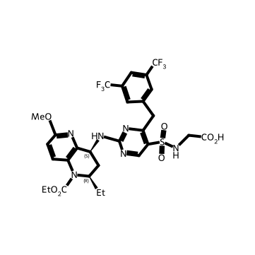 CCOC(=O)N1c2ccc(OC)nc2[C@@H](Nc2ncc(S(=O)(=O)NCC(=O)O)c(Cc3cc(C(F)(F)F)cc(C(F)(F)F)c3)n2)C[C@H]1CC